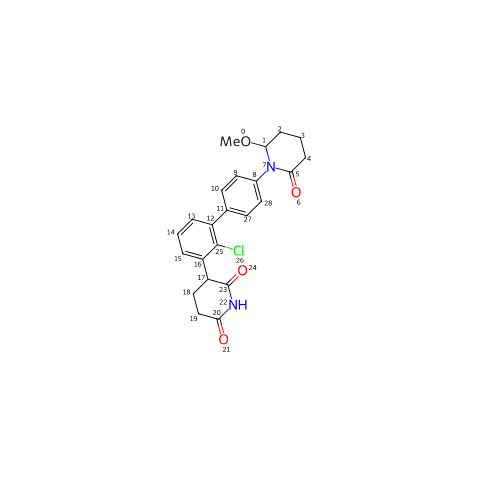 COC1CCCC(=O)N1c1ccc(-c2cccc(C3CCC(=O)NC3=O)c2Cl)cc1